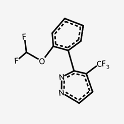 FC(F)Oc1ccccc1-c1nnccc1C(F)(F)F